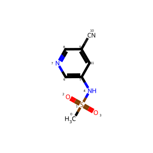 CS(=O)(=O)Nc1cncc(C#N)c1